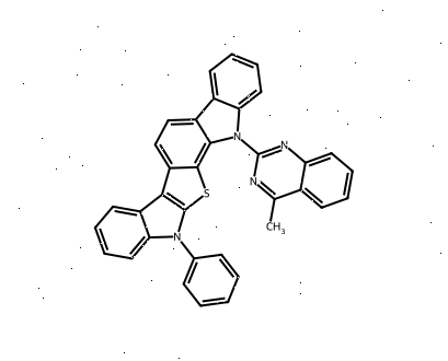 Cc1nc(-n2c3ccccc3c3ccc4c(sc5c4c4ccccc4n5-c4ccccc4)c32)nc2ccccc12